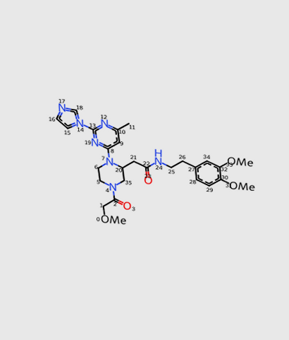 COCC(=O)N1CCN(c2cc(C)nc(-n3ccnc3)n2)C(CC(=O)NCCc2ccc(OC)c(OC)c2)C1